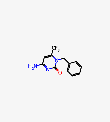 Nc1cc(C(F)(F)F)n(Cc2ccccc2)c(=O)n1